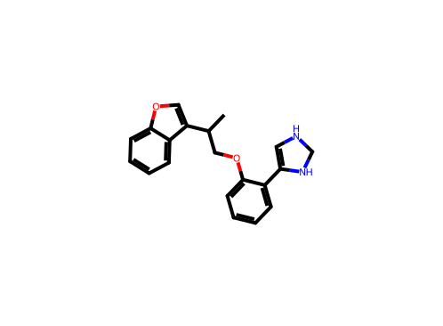 CC(COc1ccccc1C1=CNCN1)c1coc2ccccc12